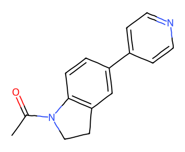 CC(=O)N1CCc2cc(-c3ccncc3)ccc21